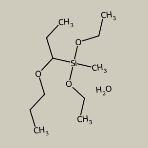 CCCOC(CC)[Si](C)(OCC)OCC.O